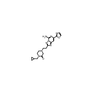 Nc1nc(-c2ncco2)cc2nc(CCN3CCN(CC4CC4)C(=O)C3)nn12